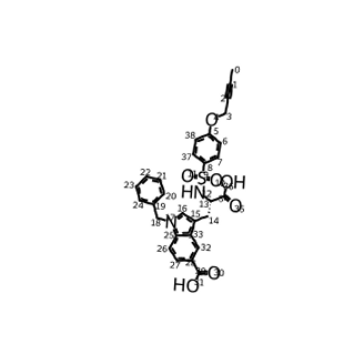 CC#CCOc1ccc(S(=O)(=O)N[C@@H](Cc2cn(Cc3ccccc3)c3ccc(C(=O)O)cc23)C(=O)O)cc1